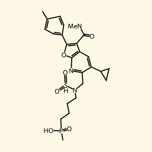 CNC(=O)c1c(-c2ccc(C)cc2)oc2nc(CN(CCCCP(C)(=O)O)[SH](=O)=O)c(C3CC3)cc12